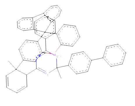 CC1(c2ccc(-c3ccccc3)cc2)N=C(C2C=CC=CC2(C)c2ccc3c(c2)Oc2ccccc2C32c3ccccc3-c3ccccc32)N=C(c2ccccc2)N1